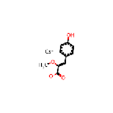 COC(=Cc1ccc(O)cc1)C(=O)[O-].[Cs+]